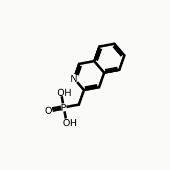 O=P(O)(O)Cc1cc2ccccc2cn1